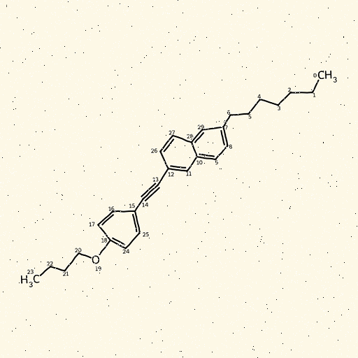 CCCCCCCc1ccc2cc(C#Cc3ccc(OCCCC)cc3)ccc2c1